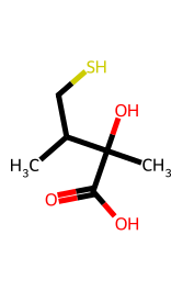 CC(CS)C(C)(O)C(=O)O